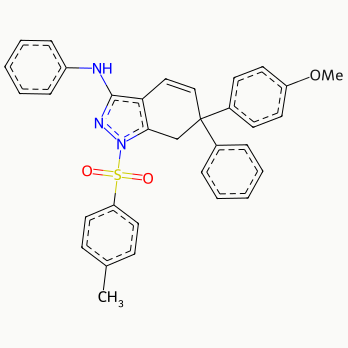 COc1ccc(C2(c3ccccc3)C=Cc3c(Nc4ccccc4)nn(S(=O)(=O)c4ccc(C)cc4)c3C2)cc1